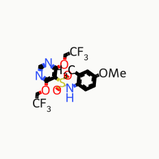 COc1ccc(NS(=O)(=O)c2c(OCC(F)(F)F)ncnc2OCC(F)(F)F)c(C)c1